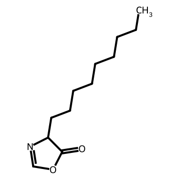 CCCCCCCCCC1N=COC1=O